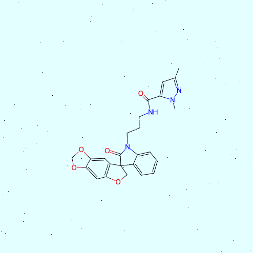 Cc1cc(C(=O)NCCCN2C(=O)C3(COc4cc5c(cc43)OCO5)c3ccccc32)n(C)n1